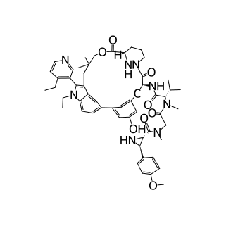 CCc1ccncc1-c1c2c3cc(ccc3n1CC)-c1cc(O)cc(c1)C[C@H](NC(=O)[C@H](C(C)C)N(C)C(=O)CN(C)C(=O)[C@H]1N[C@@H]1c1ccc(OC)cc1)C(=O)N1CCC[C@H](N1)C(=O)OCC(C)(C)C2